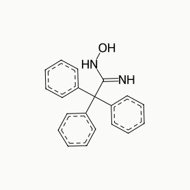 N=C(NO)C(c1ccccc1)(c1ccccc1)c1ccccc1